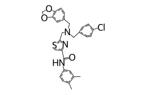 Cc1ccc(NC(=O)c2csc(CN(Cc3ccc(Cl)cc3)Cc3ccc4c(c3)OCO4)n2)cc1C